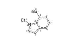 CCC(C)c1cccc2cnn(CC)c12